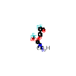 CN(C)CCN(CC(=O)O)Cc1cccc(COc2ccc(-c3cc(F)c(F)c4ccoc34)cc2)c1.O=C(O)C(F)(F)F